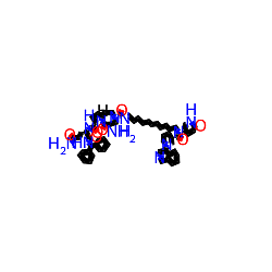 NC(=O)CC[C@H](NC(=O)[C@@H]1CC[C@@H]2CCN(C(=O)NCCCCCCCCCCCN(C(=O)[C@H]3CCCN(c4cncc5ccccc45)C3)c3ccc(=O)[nH]c3)C[C@H](N)C(=O)N21)C(=O)NC(c1ccccc1)c1ccccc1